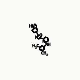 Cc1cc(C)cc(Nc2cccc(-c3cnc(-c4ccc5[nH]ccc5c4)o3)n2)c1